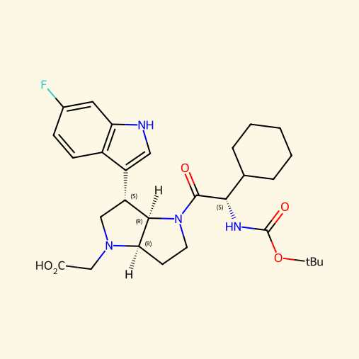 CC(C)(C)OC(=O)N[C@H](C(=O)N1CC[C@@H]2[C@H]1[C@@H](c1c[nH]c3cc(F)ccc13)CN2CC(=O)O)C1CCCCC1